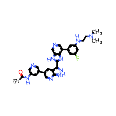 CC(C)C(=O)Nc1cncc(-c2cnc3[nH]nc(-c4nc5c(-c6cc(F)cc(NCCN(C)C)c6)cncc5[nH]4)c3c2)c1